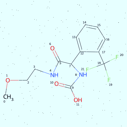 COCCNC(=O)C(NC(=O)O)c1ccccc1C(F)(F)F